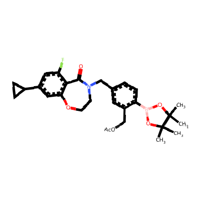 CC(=O)OCc1cc(CN2CCOc3cc(C4CC4)cc(F)c3C2=O)ccc1B1OC(C)(C)C(C)(C)O1